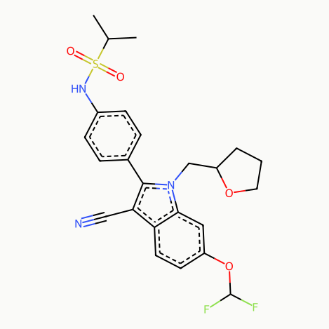 CC(C)S(=O)(=O)Nc1ccc(-c2c(C#N)c3ccc(OC(F)F)cc3n2CC2CCCO2)cc1